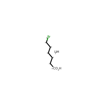 O=C(O)CCCCCBr.[LiH]